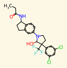 CCC(=O)NC1CCc2cc(N3CCC(c4cc(Cl)cc(Cl)c4)(C(F)(F)F)C3O)ccc21